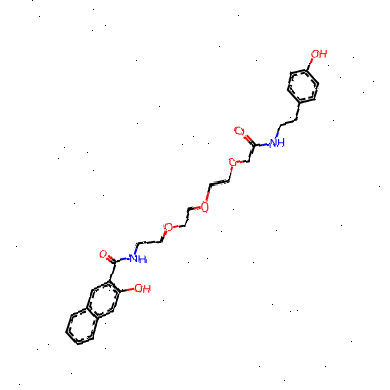 O=C(COCCOCCOCCNC(=O)c1cc2ccccc2cc1O)NCCc1ccc(O)cc1